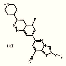 Cc1cn2nc(-c3cc(F)c4cc(C5CCNCC5)nnc4c3)cc(C#N)c2n1.Cl